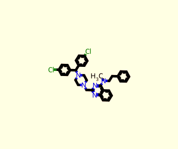 CN(CCc1ccccc1)c1nc(CN2CCN(C(c3ccc(Cl)cc3)c3ccc(Cl)cc3)CC2)nc2ccccc12